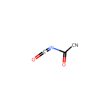 N#CC(=O)N=C=O